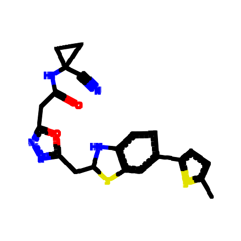 Cc1ccc(-c2ccc3c(c2)SC(Cc2nnc(CC(=O)NC4(C#N)CC4)o2)N3)s1